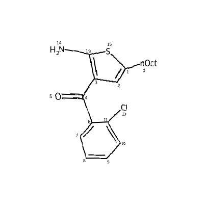 CCCCCCCCc1cc(C(=O)c2ccccc2Cl)c(N)s1